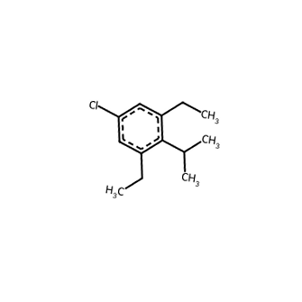 CCc1cc(Cl)cc(CC)c1C(C)C